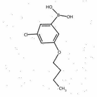 CCCCOc1cc(Cl)cc(B(O)O)c1